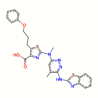 Cc1cc(N(C)c2nc(C(=O)O)c(CCCOc3ccccc3)s2)nnc1Nc1nc2ccccc2s1